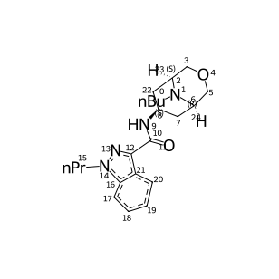 CCCCN1[C@@H]2COC[C@H]1C[C@@H](NC(=O)c1nn(CCC)c3ccccc13)C2